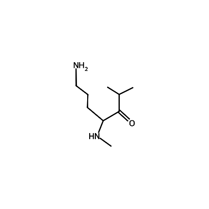 CNC(CCCN)C(=O)C(C)C